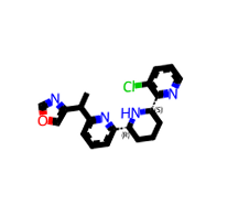 CC(c1cocn1)c1cccc([C@H]2CCC[C@@H](c3ncccc3Cl)N2)n1